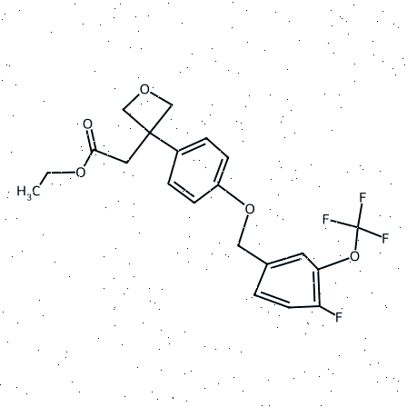 CCOC(=O)CC1(c2ccc(OCc3ccc(F)c(OC(F)(F)F)c3)cc2)COC1